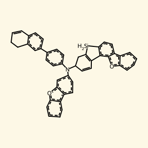 C1=Cc2ccc(-c3ccc(N(c4ccc5c(c4)oc4ccccc45)C4C=CC5=C(C4)[SiH2]c4ccc6c(oc7ccccc76)c45)cc3)cc2CC1